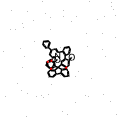 c1ccc(-c2cc(-c3ccccc3)nc(-c3cccc4oc5ccc6c(c5c34)Oc3ccccc3C63c4ccccc4-c4ccccc43)c2)cc1